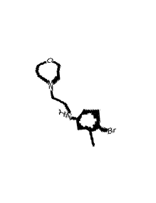 Cc1cc(NCCN2CCOCC2)ccc1Br